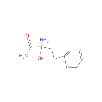 NC(=O)C(N)(O)CCc1ccccc1